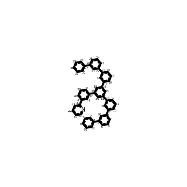 c1ccc(-c2cccc(-c3cccc(-c4cc(-c5cccc(-c6cccc(-c7ccccc7)c6)c5)cc(-c5cccc(-c6ccccn6)c5)c4)c3)c2)cc1